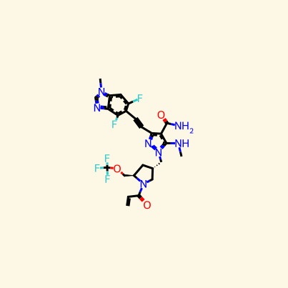 C=CC(=O)N1C[C@@H](Cn2nc(C#Cc3c(F)cc4c(ncn4C)c3F)c(C(N)=O)c2NC)C[C@@H]1COC(F)(F)F